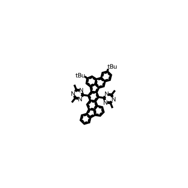 Cc1nc(C)nc(-c2c3cc4c5ccccc5c5cccc(c3c(-c3nc(C)nc(C)n3)c3c6cc7ccc(C(C)(C)C)cc7c7cc(C(C)(C)C)cc(c23)c76)c54)n1